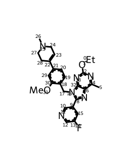 CCOc1nc(C)c2nc(-c3cncc(F)c3)n(Cc3ccc(C4=CCN(C)CC4)cc3OC)c2n1